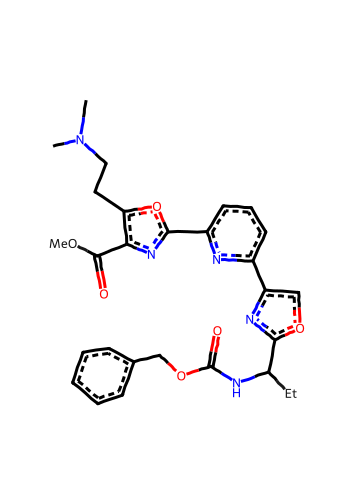 CCC(NC(=O)OCc1ccccc1)c1nc(-c2cccc(-c3nc(C(=O)OC)c(CCN(C)C)o3)n2)co1